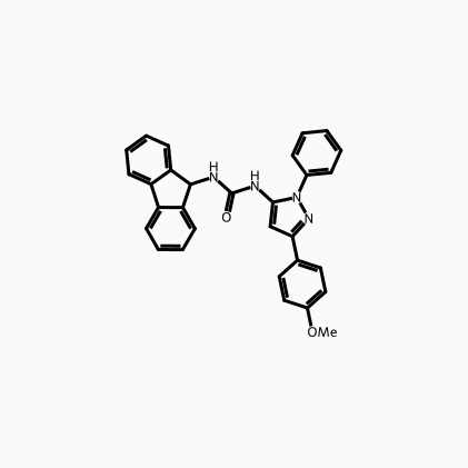 COc1ccc(-c2cc(NC(=O)NC3c4ccccc4-c4ccccc43)n(-c3ccccc3)n2)cc1